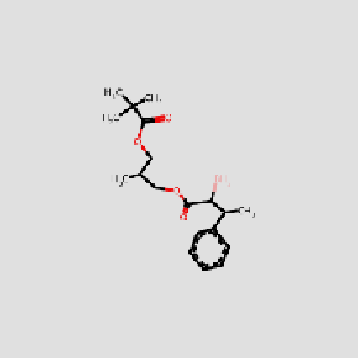 BC(C(=O)OCC(C)COC(=O)C(C)(C)C)C(C)c1ccccc1